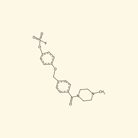 CN1CCN(C(=O)c2ccc(COc3ccc(OS(=O)(=O)F)cc3)cc2)CC1